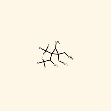 CCC1(CC)C(C)C1(C(C)C(F)(F)F)C(F)(F)F